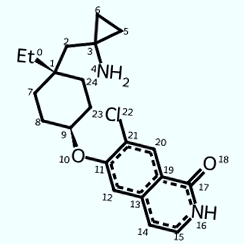 CC[C@]1(CC2(N)CC2)CC[C@H](Oc2cc3cc[nH]c(=O)c3cc2Cl)CC1